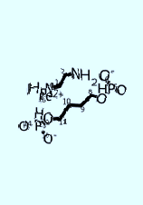 NCCN.O=[PH]([O-])OCCCCO[PH](=O)[O-].[Fe+2]